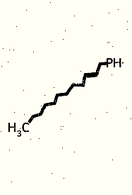 CCCCCCCCCC=CC[PH]